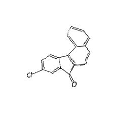 O=C1c2cc(Cl)ccc2-c2c1ccc1ccccc21